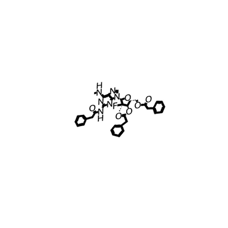 CNc1nc(NC(=O)Cc2ccccc2)nc2c1ncn2[C@@H]1O[C@H](COC(=O)Cc2ccccc2)[C@@H](OC(=O)Cc2ccccc2)[C@@]1(C)F